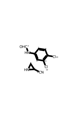 N#CC1CN1.O=CNc1ccc(Cl)c(Cl)c1